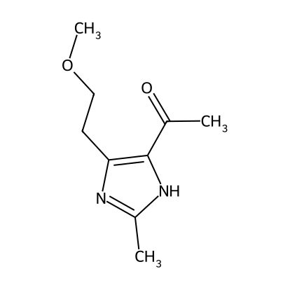 COCCc1nc(C)[nH]c1C(C)=O